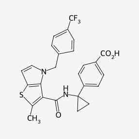 Cc1sc2ccn(Cc3ccc(C(F)(F)F)cc3)c2c1C(=O)NC1(c2ccc(C(=O)O)cc2)CC1